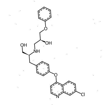 OC[C@H](Cc1ccc(Oc2ccnc3cc(Cl)ccc23)cc1)NC[C@H](O)COc1ccccc1